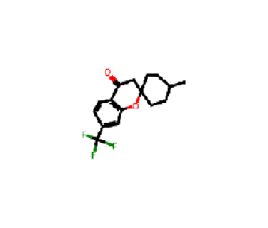 CC1CCC2(CC1)CC(=O)c1ccc(C(F)(F)F)cc1O2